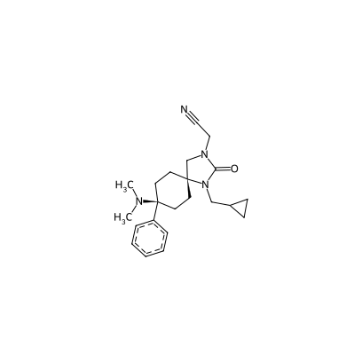 CN(C)[C@]1(c2ccccc2)CC[C@@]2(CC1)CN(CC#N)C(=O)N2CC1CC1